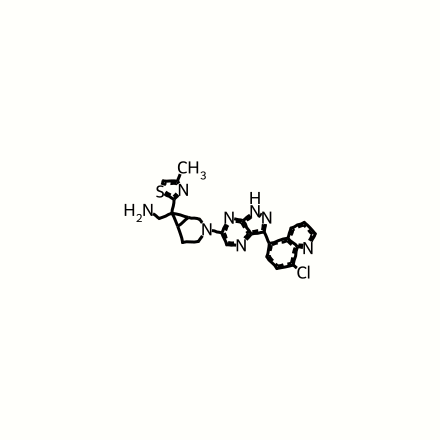 Cc1csc(C2(CN)C3CCN(c4cnc5c(-c6ccc(Cl)c7ncccc67)n[nH]c5n4)CC32)n1